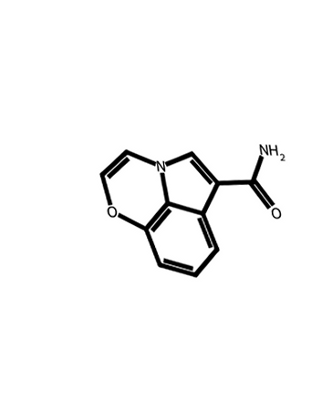 NC(=O)c1cn2c3c(cccc13)OC=C2